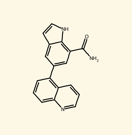 NC(=O)c1cc(-c2cccc3ncccc23)cc2cc[nH]c12